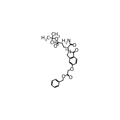 CC(C)(C)OC(=O)CC[C@@H](C(N)=O)N1Cc2cc(OCC(=O)OCc3ccccc3)ccc2C1=O